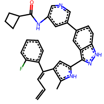 C=C/C=C(/c1ccccc1F)c1cc(-c2n[nH]c3ccc(-c4cncc(NC(=O)C5CCC5)c4)cc23)[nH]c1C